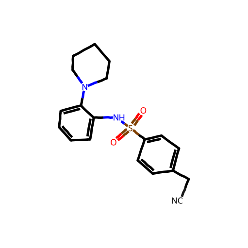 N#CCc1ccc(S(=O)(=O)Nc2ccccc2N2CCCCC2)cc1